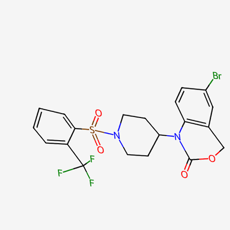 O=C1OCc2cc(Br)ccc2N1C1CCN(S(=O)(=O)c2ccccc2C(F)(F)F)CC1